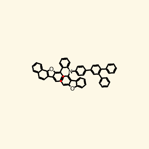 c1ccc(-c2ccc(-c3ccc(N(c4ccccc4-c4cccc5c4oc4c6ccccc6ccc54)c4cccc5oc6ccccc6c45)cc3)cc2-c2ccccc2)cc1